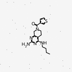 CCCCNc1nc(N)nc2c1CCN(C(=O)c1ccsc1)C2